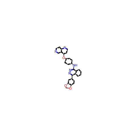 c1ccc2c(-c3ccc4c(c3)OCO4)nnc(Nc3ccc(Oc4ccnc5ccncc45)cc3)c2c1